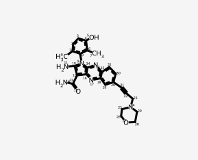 Cc1ccc(O)c(C)c1-n1c(N)c(C(N)=O)c2nc3cc(C#CCN4CCOCC4)ccc3nc21